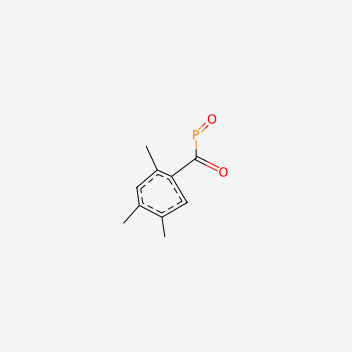 Cc1cc(C)c(C(=O)P=O)cc1C